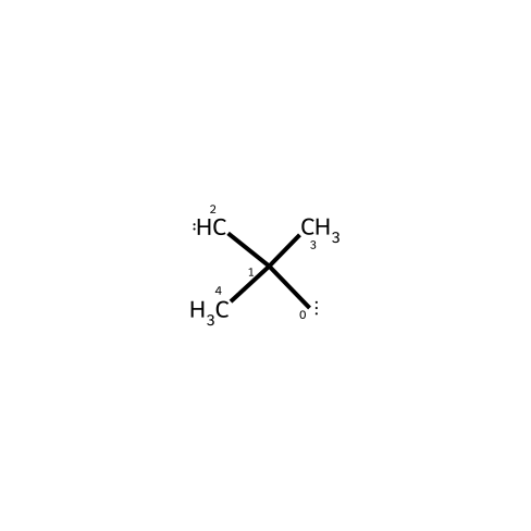 [C]C([CH])(C)C